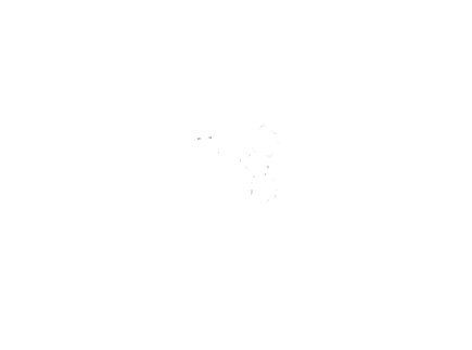 COc1ccc2c3ccccc3n(CC(C)(C)C(C)=O)c2c1